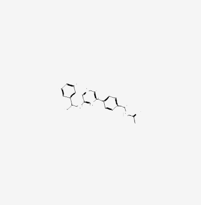 CC(=O)NCc1ccc(-c2cncc(NC(C)c3ccccc3)n2)cc1